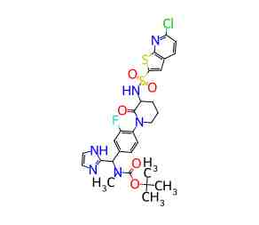 CN(C(=O)OC(C)(C)C)C(c1ccc(N2CCCC(NS(=O)(=O)c3cc4ccc(Cl)nc4s3)C2=O)c(F)c1)c1ncc[nH]1